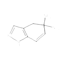 NC1(N)C=Cc2[nH]ncc2C1